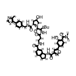 Cc1ncsc1-c1ccc(CNC(=O)[C@@H]2C[C@@H](O)CN2C(=O)C(NC(=O)CCNC(=O)c2ccc3c(c2)[C@H](NC(=O)c2cc(-c4ccc(C(=O)N(C)C)c(O)c4)on2)CC3)C(C)(C)C)cc1